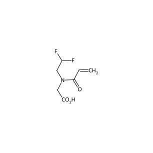 C=CC(=O)N(CC(=O)O)CC(F)F